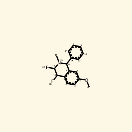 COc1ccc2c(c1)C(c1ccccc1)N(C)C(F)C2F